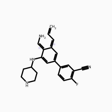 C=C/C=c1/cc(-c2ccc(F)c(C#N)c2)cc(NC2CCNCC2)/c1=C/N